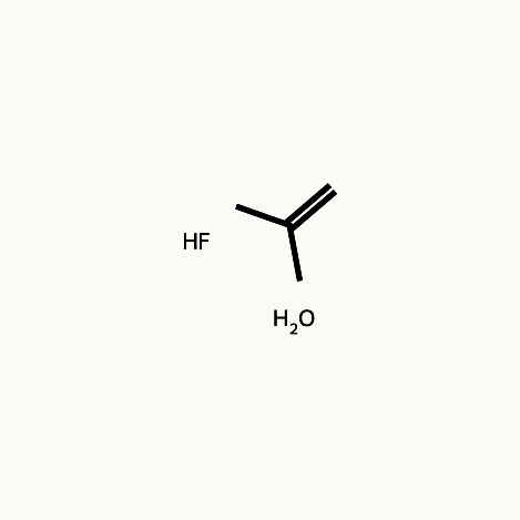 C=C(C)C.F.O